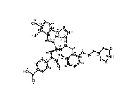 O=C(O)c1ccc(NC(=O)[C@H]2c3cccc(OCCC4CCNCC4)c3CCN2C(=O)/C=C/c2c(N3C=NNN3)ccc(Cl)c2F)cc1